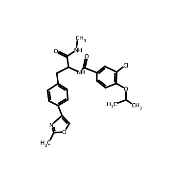 CNC(=O)C(Cc1ccc(-c2coc(C)n2)cc1)NC(=O)c1ccc(OC(C)C)c(Cl)c1